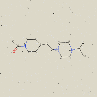 CC(=O)N1CCC(CCN2CCN(C(C)C)CC2)CC1